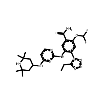 CCc1nnnn1-c1cc(OC(F)F)c(C(N)=O)cc1Nc1nccc(NC2CC(C)(C)NC(C)(C)C2)n1